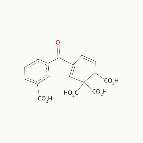 O=C(O)c1cccc(C(=O)C2=CC(C(=O)O)(C(=O)O)C(C(=O)O)C=C2)c1